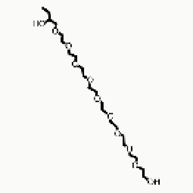 CCC(O)COCCOCCOCCOCCOCCOCCOCCOCCOCCO